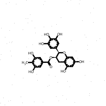 Cc1c(O)cc(C(=O)O[C@@H]2Cc3c(O)cc(O)cc3O[C@@H]2c2cc(O)c(O)c(O)c2)cc1O